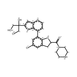 O=C(C1Cc2cc(Cl)cc(-c3ccnc4cc(C(O)(CO)CCl)sc34)c2O1)N1CCNCC1